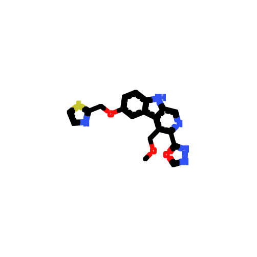 COCc1c(-c2nnco2)ncc2[nH]c3ccc(OCc4nccs4)cc3c12